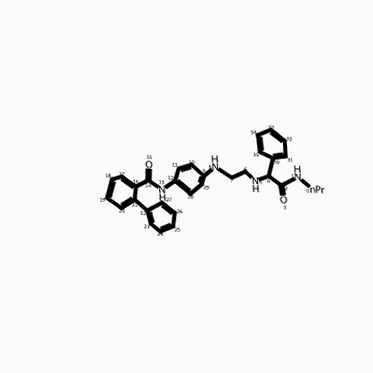 CCCNC(=O)C(NCCNc1ccc(NC(=O)c2ccccc2-c2ccccc2)cc1)c1ccccc1